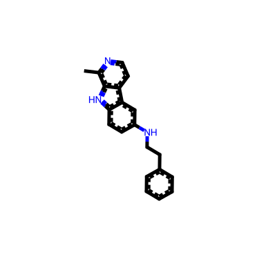 Cc1nccc2c1[nH]c1ccc(NCCc3ccccc3)cc12